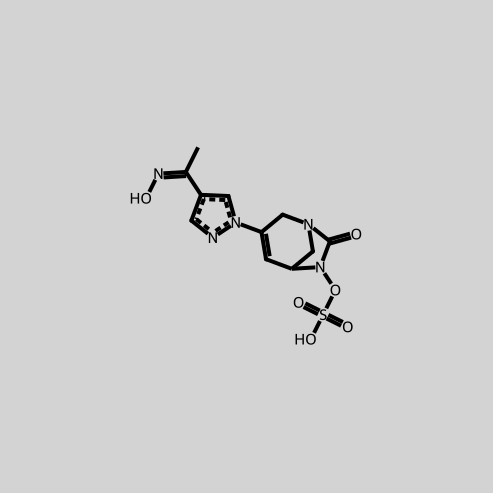 C/C(=N/O)c1cnn(C2=CC3CN(C2)C(=O)N3OS(=O)(=O)O)c1